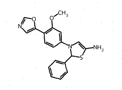 COc1cc(N2C=C(N)SC2c2ccccc2)ccc1-c1cnco1